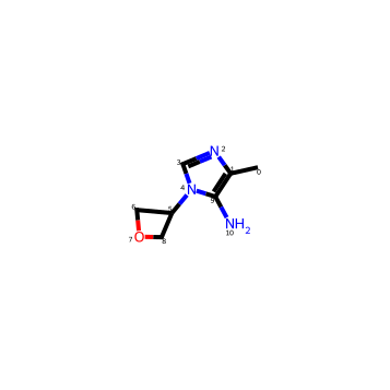 Cc1ncn(C2COC2)c1N